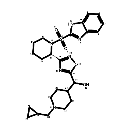 O=S(=O)(c1nc2ccccc2[nH]1)N1CCCC[C@H]1c1noc(C(O)C2CCN(CC3CC3)CC2)n1